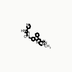 Cc1nnc2c3cc(-c4ccccc4)c(-c4ccc(CNC(=O)c5c[nH]c(-c6cccnc6)c5)cc4)nc3ccn12